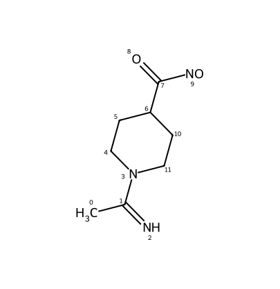 CC(=N)N1CCC(C(=O)N=O)CC1